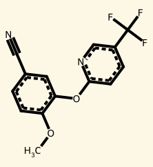 COc1ccc(C#N)cc1Oc1ccc(C(F)(F)F)cn1